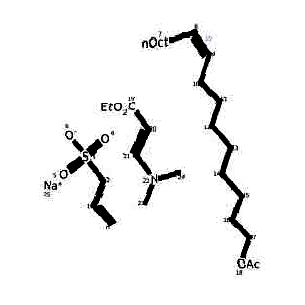 C=CCS(=O)(=O)[O-].CCCCCCCC/C=C\CCCCCCCCOC(C)=O.CCOC(=O)C=CN(C)C.[Na+]